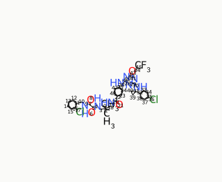 CC(C)(CNC(=O)C(=O)NCc1ccccc1Cl)CNC(=O)c1ccc(Nc2nc(NC3(c4ccc(Cl)cc4)CC3)nc(OCC(F)(F)F)n2)cc1